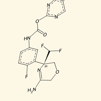 NC1=N[C@@](c2cc(NC(=O)Oc3ncc(Br)cn3)ccc2F)(C(F)F)COC1